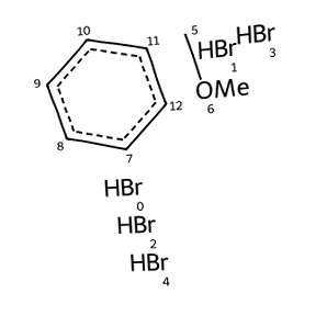 Br.Br.Br.Br.Br.COC.c1ccccc1